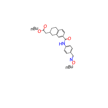 CCCCO/N=C/c1ccc(NC(=O)c2ccc3c(c2)CC(CC(=O)OCCCC)CC3)cc1